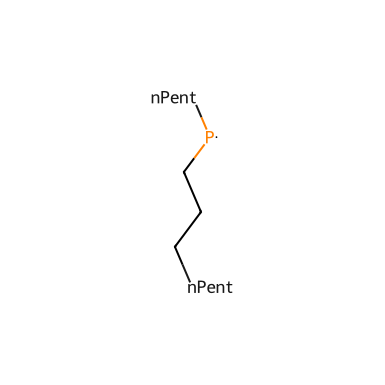 CCCCCCCC[P]CCCCC